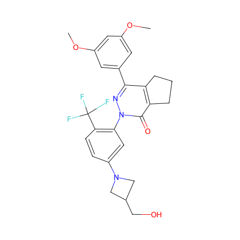 COc1cc(OC)cc(-c2nn(-c3cc(N4CC(CO)C4)ccc3C(F)(F)F)c(=O)c3c2CCC3)c1